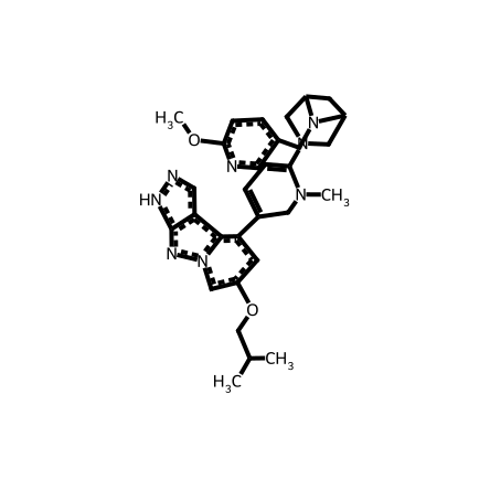 COc1ccc(CN2C3CC2CN(C2=CC=C(c4cc(OCC(C)C)cn5nc6[nH]ncc6c45)CN2C)C3)cn1